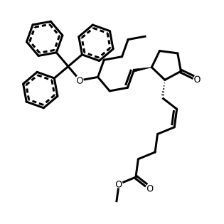 CCCCC(C/C=C/[C@H]1CCC(=O)[C@@H]1C/C=C\CCCC(=O)OC)OC(c1ccccc1)(c1ccccc1)c1ccccc1